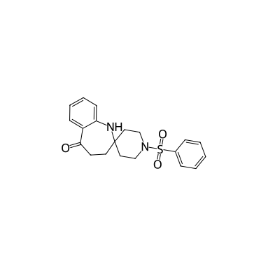 O=C1CCC2(CCN(S(=O)(=O)c3ccccc3)CC2)Nc2ccccc21